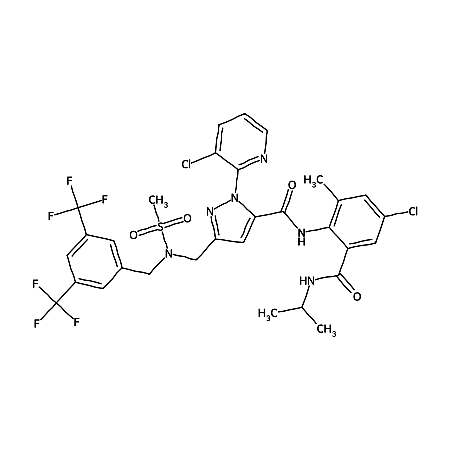 Cc1cc(Cl)cc(C(=O)NC(C)C)c1NC(=O)c1cc(CN(Cc2cc(C(F)(F)F)cc(C(F)(F)F)c2)S(C)(=O)=O)nn1-c1ncccc1Cl